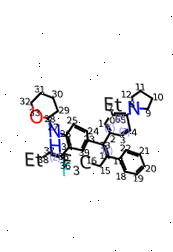 C/C=C(\C=C/C(=C/CC)N1CCCC1)C(=C(/CC(F)(F)F)c1ccccc1)/c1ccc(NC2CCCCO2)c(/C(F)=C/CC)c1